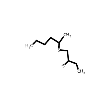 CCCCC(C)SCC([S])CC